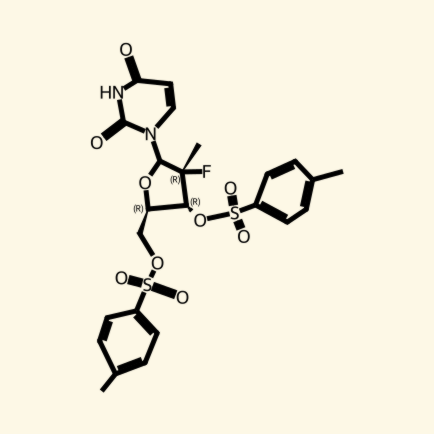 Cc1ccc(S(=O)(=O)OC[C@H]2OC(n3ccc(=O)[nH]c3=O)[C@](C)(F)[C@@H]2OS(=O)(=O)c2ccc(C)cc2)cc1